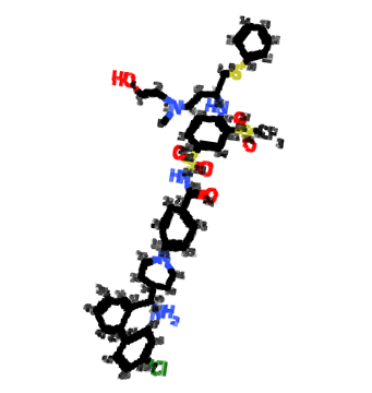 CN(CCO)CCC(CSc1ccccc1)Nc1ccc(S(=O)(=O)NC(=O)c2ccc(N3CCC([C@@H](N)c4ccccc4-c4ccc(Cl)cc4)CC3)cc2)cc1S(=O)(=O)C(F)(F)F